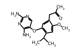 COc1cc(C(C)C)c(Oc2cnc(N)nc2N)cc1CC(C)=O